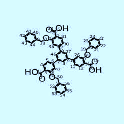 O=C(O)c1ccc(-c2cc(-c3ccc(C(=O)O)c(OCc4ccccc4)c3)cc(-c3ccc(C(=O)O)c(OCc4ccccc4)c3)c2)cc1OCc1ccccc1